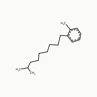 Cc1ccccc1CCCCCCCC(C)C